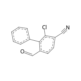 N#Cc1ccc(C=O)c(-c2ccccc2)c1Cl